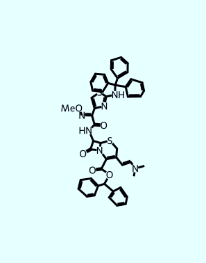 CON=C(C(=O)NC1C(=O)N2C(C(=O)OC(c3ccccc3)c3ccccc3)=C(C=CN(C)C)CSC12)c1csc(NC(c2ccccc2)(c2ccccc2)c2ccccc2)n1